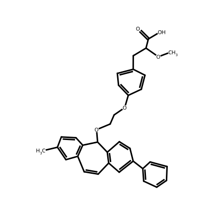 COC(Cc1ccc(OCCOC2c3ccc(C)cc3C=Cc3cc(-c4ccccc4)ccc32)cc1)C(=O)O